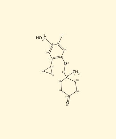 CC1(COc2cc(F)c(C(=O)O)cc2C2CC2)CCC(=O)CC1